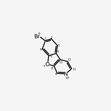 Brc1ccc2c(c1)oc1cnccc12